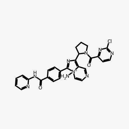 N[N+]12C=CN=CC1=C(C1CCCN1C(=O)c1ccnc(Cl)n1)N=C2c1ccc(C(=O)Nc2ccccn2)cc1